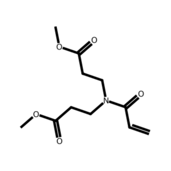 C=CC(=O)N(CCC(=O)OC)CCC(=O)OC